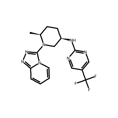 C[C@H]1CC[C@@H](Nc2ncc(C(F)(F)F)cn2)CN1c1nnc2ccccn12